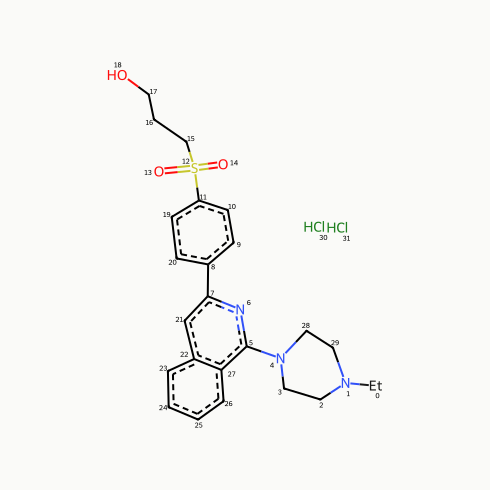 CCN1CCN(c2nc(-c3ccc(S(=O)(=O)CCCO)cc3)cc3ccccc23)CC1.Cl.Cl